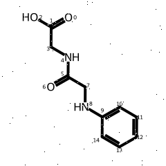 O=C(O)CNC(=O)CNc1ccccc1